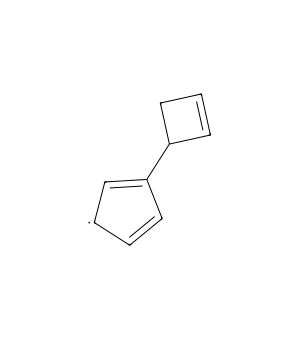 [CH]1C=CC(C2C=CC2)=C1